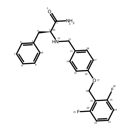 NC(=O)[C@H](Cc1ccccc1)NCc1ccc(OCc2c(F)cccc2F)cc1